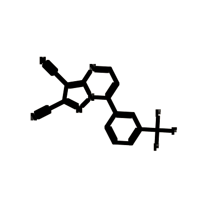 N#Cc1nn2c(-c3cccc(C(F)(F)F)c3)ccnc2c1C#N